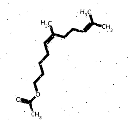 CC(=O)OCCCCC=C(C)CCC=C(C)C